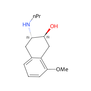 CCCN[C@H]1Cc2cccc(OC)c2C[C@@H]1O